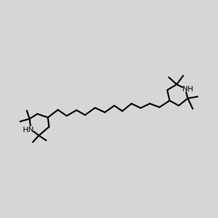 CC1(C)CC(CCCCCCCCCCCCC2CC(C)(C)NC(C)(C)C2)CC(C)(C)N1